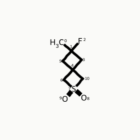 CC1(F)CC2(C1)CS(=O)(=O)C2